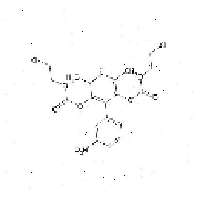 CC1=C(OC(=O)OCCCl)C(c2cccc([N+](=O)[O-])c2)=C(OC(=O)OCCCl)C(C)N1